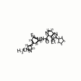 CCn1c(C2CCCC2)nc2ccnc(C(=O)NCc3cc(F)cc(-c4cnn(C)c4)c3)c21